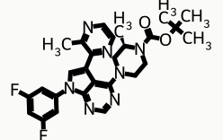 Cc1nccnc1-c1cn(-c2cc(F)cc(F)c2)c2ncnc(N3CCN(C(=O)OC(C)(C)C)[C@H](C)C3)c12